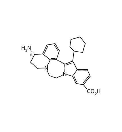 N[C@H]1CCN2CCn3c(c(C4CCCCC4)c4ccc(C(=O)O)cc43)-c3cccc1c32